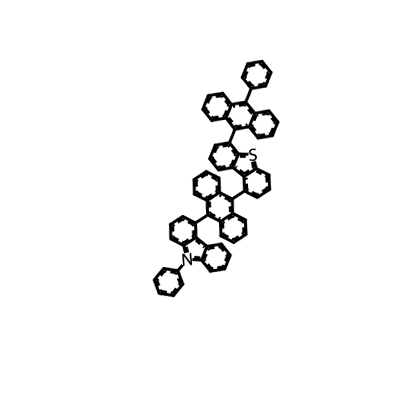 c1ccc(-c2c3ccccc3c(-c3cccc4c3sc3cccc(-c5c6ccccc6c(-c6cccc7c6c6ccccc6n7-c6ccccc6)c6ccccc56)c34)c3ccccc23)cc1